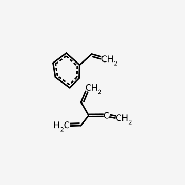 C=C=C(C=C)C=C.C=Cc1ccccc1